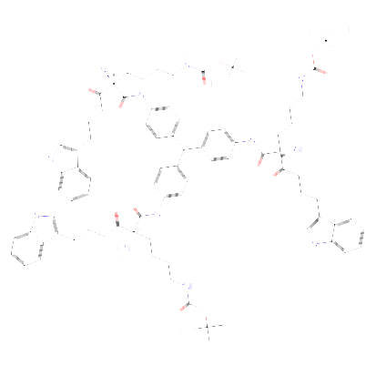 CC(C)(C)OC(=O)NCCCC[C@@](N)(C(=O)CCCc1c[nH]c2ccccc12)C(=O)Nc1ccc(C(c2ccc(NC(=O)[C@@](N)(CCCCNC(=O)OC(C)(C)C)C(=O)CCCc3c[nH]c4ccccc34)cc2)c2ccc(NC(=O)[C@@](N)(CCCCNC(=O)OC(C)(C)C)C(=O)CCCc3c[nH]c4ccccc34)cc2)cc1